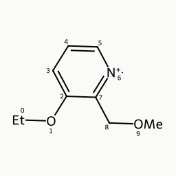 CCOC1=CC=C[N+]=C1COC